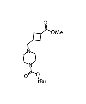 COC(=O)C1CC(CN2CCN(C(=O)OC(C)(C)C)CC2)C1